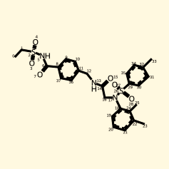 CCS(=O)(=O)NC(=O)c1ccc(CNC(=O)CN(c2cccc(C)c2C)S(=O)(=O)c2ccc(C)cc2)cc1